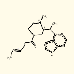 C/N=C/CC(=O)N1CC[C@@H](C)[C@@H](N(C)c2ncnc3[nH]ccc23)C1